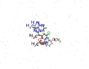 COC1CCCN(C(=O)c2c(F)c(Cl)cc(C(C)c3nc(C)c4c(N)nccn34)c2OC(C)C)C1